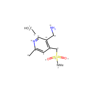 CC(=O)O.CNS(=O)(=O)Cc1cc(C)ncc1CN